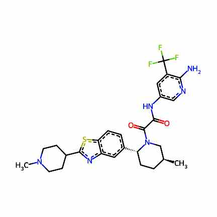 C[C@H]1CC[C@H](c2ccc3sc(C4CCN(C)CC4)nc3c2)N(C(=O)C(=O)Nc2cnc(N)c(C(F)(F)F)c2)C1